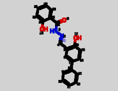 O=C(N/N=C/c1cc(-c2ccccc2)ccc1O)c1ccccc1O